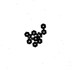 c1ccc(-c2cccc(-c3nc(-c4cccc(-c5ccccc5)c4)nc(-c4cccc(-c5c6ccccc6n6c7ccccc7n(-c7ccccc7)c56)c4)n3)c2)cc1